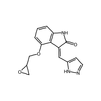 O=C1Nc2cccc(OCC3CO3)c2C1=Cc1ccn[nH]1